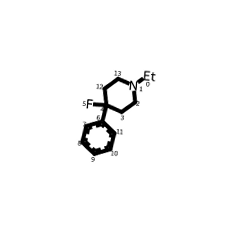 CCN1CCC(F)(c2ccccc2)CC1